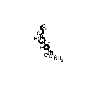 NC[C@H]1CN(c2cc(F)c(N3CCNN(C(=O)Cc4ccon4)CC3)c(F)c2)C(=O)O1